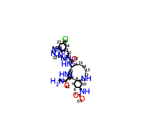 COC(=O)Nc1ccc2c(c1)NCCCCC[C@H](NC(=O)/C=C/c1cc(Cl)ccc1N(N)/C=N\N)c1nc-2c(C(N)=O)[nH]1